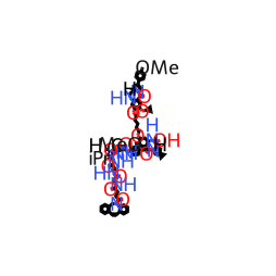 COc1ccc(C2=CN3C(=O)c4cc(OC5CC5)c(OCCCCCOC5CC6NC(O)[C@@H]7CC8(CC8)CN7C(=O)C6(Cc6ccc(NC(=O)[C@H](C)NC(=O)[C@@H](NC(=O)CNC(=O)CNC(=O)CCC(=O)N7Cc8ccccc8C#Cc8ccccc87)C(C)C)cc6)CC5OC)cc4NC[C@@H]3C2)cc1